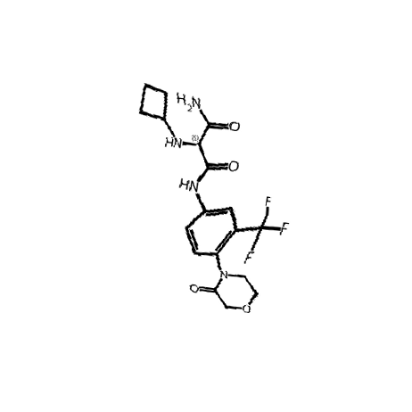 NC(=O)[C@H](NC1CCC1)C(=O)Nc1ccc(N2CCOCC2=O)c(C(F)(F)F)c1